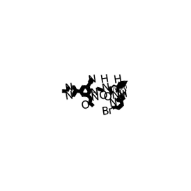 CC(=O)c1nn(CC(=O)N[C@@H](C[C@@]2(CN(C)C)[C@H]3C[C@]32C)C(=O)Nc2nc(Br)ccc2C)c2c(C#N)cc(-c3cnc(C)nc3)cc12